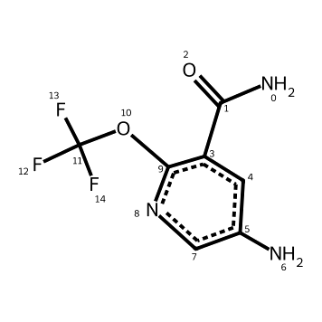 NC(=O)c1cc(N)cnc1OC(F)(F)F